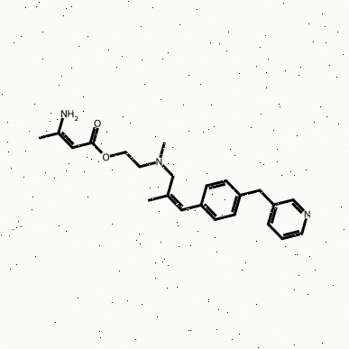 CC(=Cc1ccc(Cc2cccnc2)cc1)CN(C)CCOC(=O)/C=C(/C)N